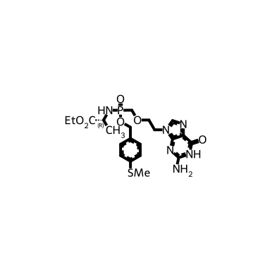 CCOC(=O)[C@@H](C)NP(=O)(COCCn1cnc2c(=O)[nH]c(N)nc21)OCc1ccc(SC)cc1